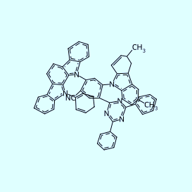 Cc1ccc2c(c1)c1c(n2-c2cc(-n3c4ccccc4c4ccc5c6ccccc6n(C6=CCCC=C6)c5c43)c(C#N)cc2-c2nc(-c3ccccc3)nc(-c3ccccc3)n2)C=CC(C)C1